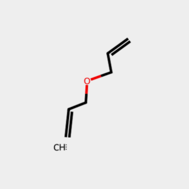 C=CCOCC=C.[CH]